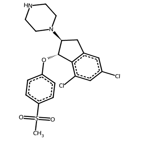 CS(=O)(=O)c1ccc(O[C@H]2c3c(Cl)cc(Cl)cc3C[C@@H]2N2CCNCC2)cc1